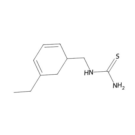 CCC1=CC=CC(CNC(N)=S)C1